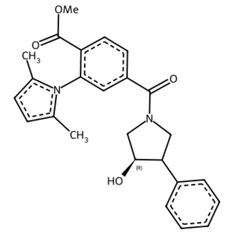 COC(=O)c1ccc(C(=O)N2CC(c3ccccc3)[C@@H](O)C2)cc1-n1c(C)ccc1C